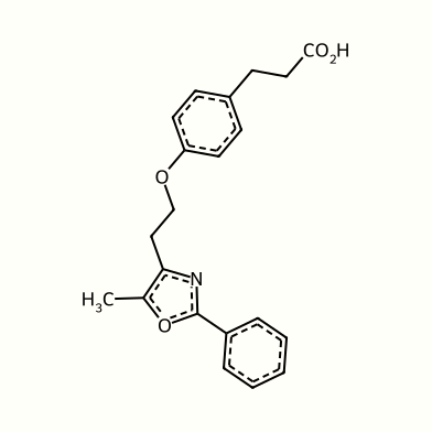 Cc1oc(-c2ccccc2)nc1CCOc1ccc(CCC(=O)O)cc1